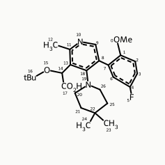 COc1ccc(F)cc1-c1cnc(C)c(C(OC(C)(C)C)C(=O)O)c1N1CCC(C)(C)CC1